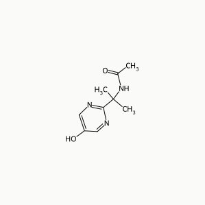 CC(=O)NC(C)(C)c1ncc(O)cn1